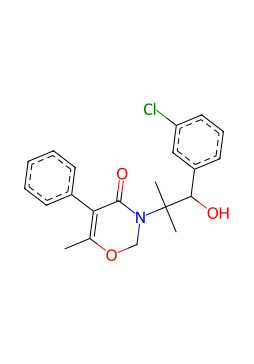 CC1=C(c2ccccc2)C(=O)N(C(C)(C)C(O)c2cccc(Cl)c2)CO1